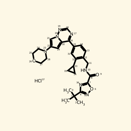 CC(C)(C)c1noc(C(=O)NCc2ccc(-c3ncnn4cc(N5CCOCC5)cc34)cc2C2CC2)n1.Cl